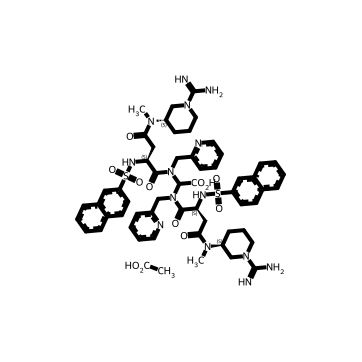 CC(=O)O.CN(C(=O)C[C@H](NS(=O)(=O)c1ccc2ccccc2c1)C(=O)N(Cc1ccccn1)C(C(=O)O)N(Cc1ccccn1)C(=O)[C@H](CC(=O)N(C)[C@H]1CCCN(C(=N)N)C1)NS(=O)(=O)c1ccc2ccccc2c1)[C@H]1CCCN(C(=N)N)C1